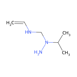 C=CNCN(N)C(C)C